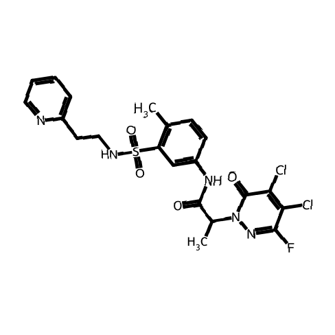 Cc1ccc(NC(=O)C(C)n2nc(F)c(Cl)c(Cl)c2=O)cc1S(=O)(=O)NCCc1ccccn1